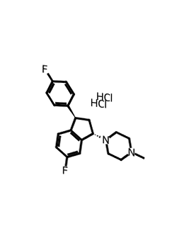 CN1CCN([C@H]2C[C@H](c3ccc(F)cc3)c3ccc(F)cc32)CC1.Cl.Cl